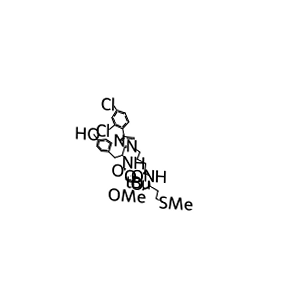 COC(=O)C(CCSC)NC(=O)CCCn1cc(-c2ccc(Cl)cc2Cl)nc1C(Cc1ccc(O)cc1)NC(=O)OC(C)(C)C